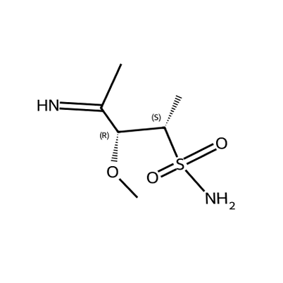 CO[C@H](C(C)=N)[C@H](C)S(N)(=O)=O